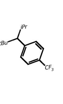 CC(C)C(c1ccc(C(F)(F)F)cc1)C(C)(C)C